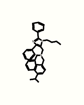 CCCCn1c(-c2ccccc2)nc(-c2ccccc2)c1CN(Cc1ccccc1)Cc1ccc(C(C)C)cc1